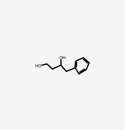 OC[CH]C(O)Cc1ccccc1